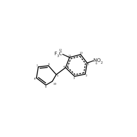 O=[N+]([O-])c1ccc(C2C=CC=CC2)c(C(F)(F)F)c1